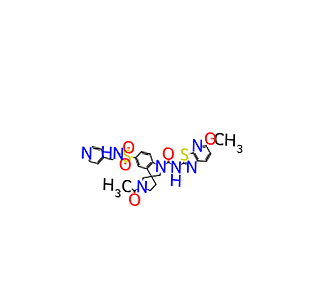 COc1ccc2nc(NC(=O)N3CC4(CCN(C(C)=O)C4)c4cc(S(=O)(=O)NCc5ccncc5)ccc43)sc2n1